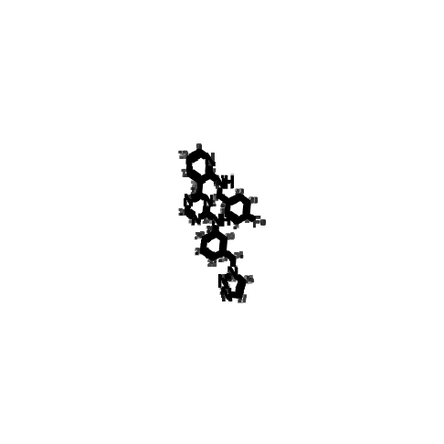 Fc1ccc(CNc2ncccc2-c2ncnc(Nc3cccc(Cn4ccnn4)c3)n2)cc1